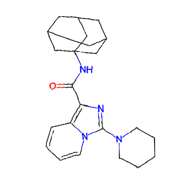 O=C(NC12CC3CC(CC(C3)C1)C2)c1nc(N2CCCCC2)n2ccccc12